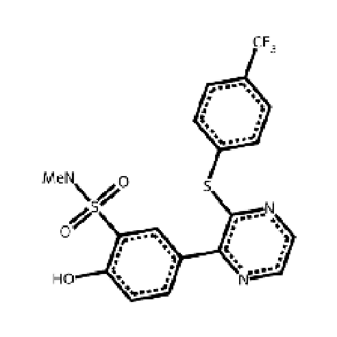 CNS(=O)(=O)c1cc(-c2nccnc2Sc2ccc(C(F)(F)F)cc2)ccc1O